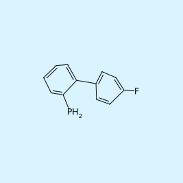 Fc1ccc(-c2ccccc2P)cc1